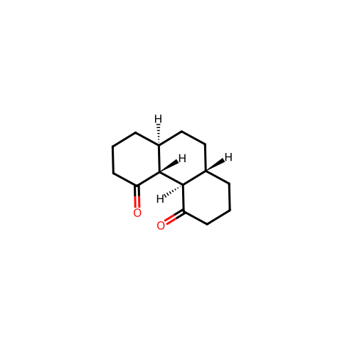 O=C1CCC[C@H]2CC[C@@H]3CCCC(=O)[C@H]3[C@H]12